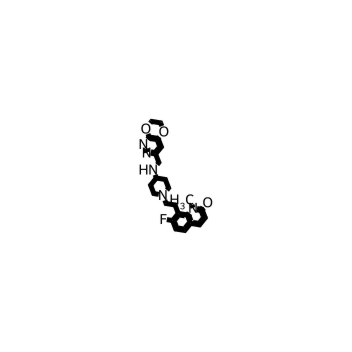 Cn1c(=O)ccc2ccc(F)c(CCN3CCC(NCc4cc5c(nn4)OCCO5)CC3)c21